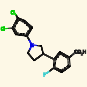 O=C(O)c1ccc(F)c(C2CCN(c3ccc(Cl)c(Cl)c3)C2)c1